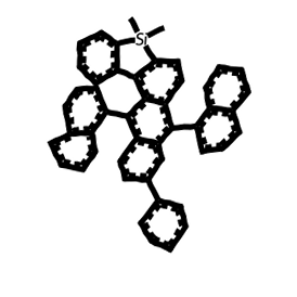 C[Si]1(C)c2ccccc2-c2c1ccc1c(-c3cccc4ccccc34)c3cc(-c4ccccc4)ccc3c(-c3cccc4ccccc34)c21